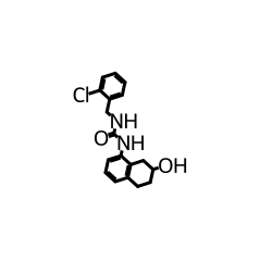 O=C(NCc1ccccc1Cl)Nc1cccc2c1CC(O)CC2